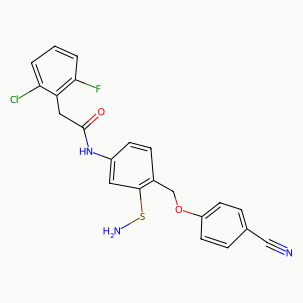 N#Cc1ccc(OCc2ccc(NC(=O)Cc3c(F)cccc3Cl)cc2SN)cc1